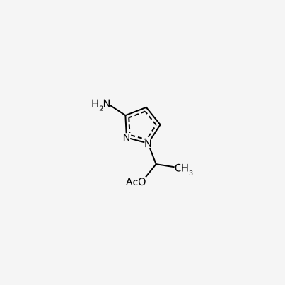 CC(=O)OC(C)n1ccc(N)n1